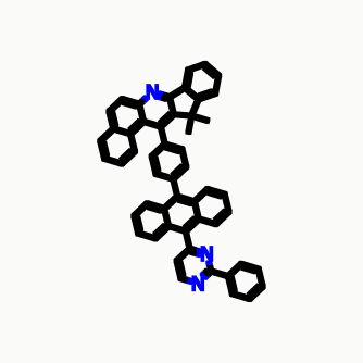 CC1(C)c2ccccc2-c2nc3ccc4ccccc4c3c(-c3ccc(-c4c5ccccc5c(-c5ccnc(-c6ccccc6)n5)c5ccccc45)cc3)c21